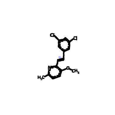 COc1ccc(C)nc1/C=C/c1cc(Cl)cc(Cl)c1